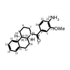 COc1cc(C(=O)N2CCC[C@@H]3c4ccccc4CC[C@@H]32)ccc1N